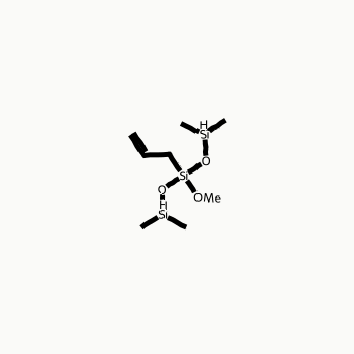 C=CC[Si](OC)(O[SiH](C)C)O[SiH](C)C